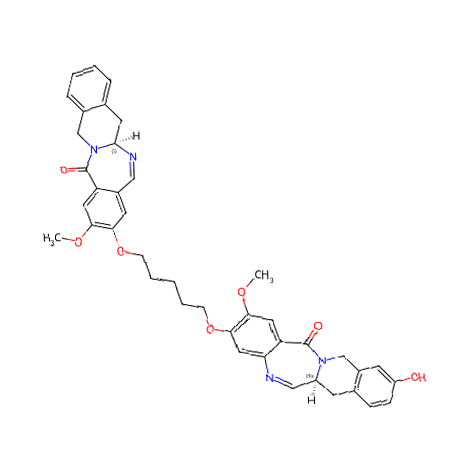 COc1cc2c(cc1OCCCCCOc1cc3c(cc1OC)C(=O)N1Cc4cc(O)ccc4C[C@H]1C=N3)C=N[C@@H]1Cc3ccccc3CN1C2=O